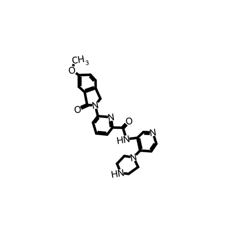 COc1ccc2c(c1)C(=O)N(c1cccc(C(=O)Nc3cnccc3N3CCNCC3)n1)C2